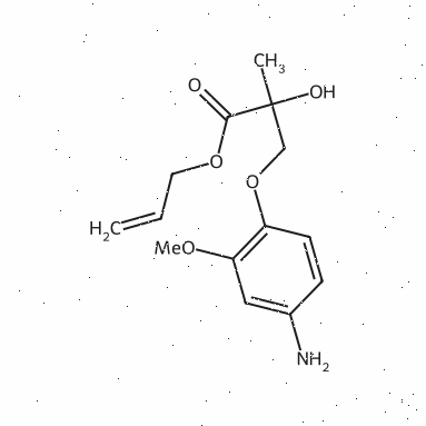 C=CCOC(=O)C(C)(O)COc1ccc(N)cc1OC